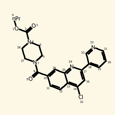 CCCOC(=O)N1CCN(C(=O)c2ccc3c(Cl)cc(-c4cccnc4)nc3c2)CC1